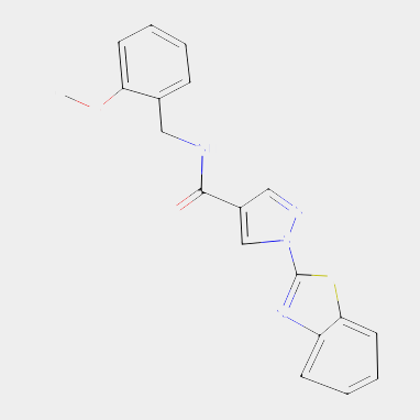 O=C(NCc1ccccc1OC(F)(F)F)c1cnn(-c2nc3ccccc3s2)c1